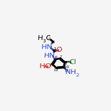 CCNC(=O)Nc1cc(Cl)c(N)cc1O